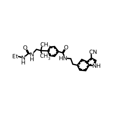 CCNC(=O)NCC(C)(C)c1ccc(C(=O)NCCc2ccc3[nH]cc(C#N)c3c2)cc1